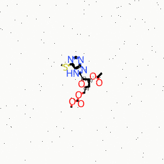 COC(=O)OC[C@@H]1C[C@@H](OC(C)=O)[C@H](c2nc3ncnc(SC)c3[nH]2)O1